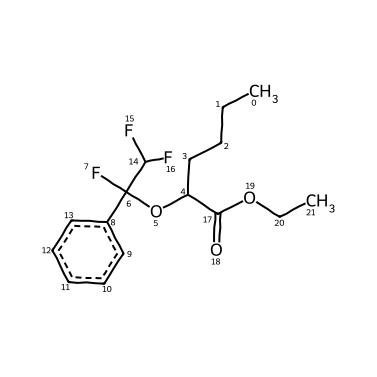 CCCCC(OC(F)(c1ccccc1)C(F)F)C(=O)OCC